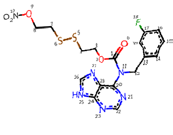 O=C(OCCSSCCO[N+](=O)[O-])N(Cc1cccc(F)c1)c1ncnc2[nH]cnc12